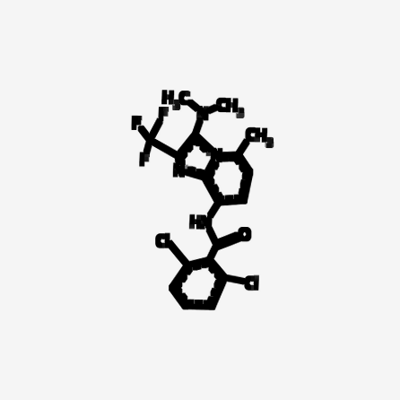 Cc1ccc(NC(=O)c2c(Cl)cccc2Cl)c2nc(C(F)(F)F)c(N(C)C)n12